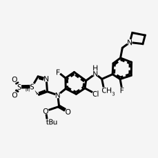 CC(Nc1cc(F)c(N(C(=O)OC(C)(C)C)C2=C[S@](=S(=O)=O)C=N2)cc1Cl)c1cc(CN2CCC2)ccc1F